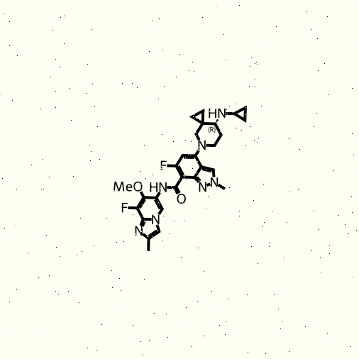 COc1c(NC(=O)c2c(F)cc(N3CC[C@@H](NC4CC4)C4(CC4)C3)c3cn(C)nc23)cn2cc(C)nc2c1F